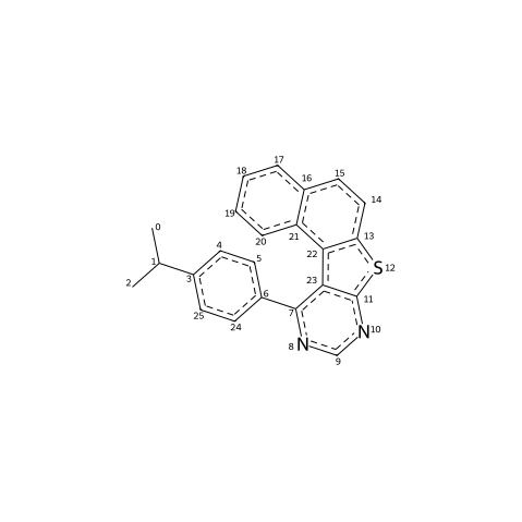 CC(C)c1ccc(-c2ncnc3sc4ccc5ccccc5c4c23)cc1